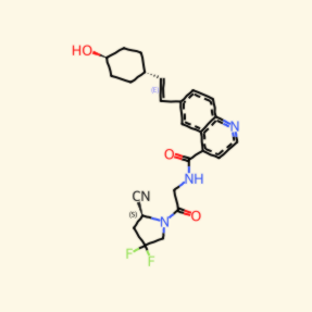 N#C[C@@H]1CC(F)(F)CN1C(=O)CNC(=O)c1ccnc2ccc(/C=C/[C@H]3CC[C@H](O)CC3)cc12